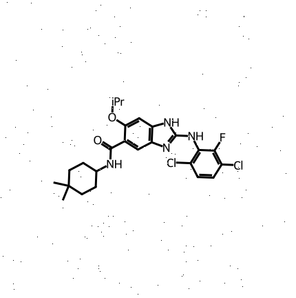 CC(C)Oc1cc2[nH]c(Nc3c(Cl)ccc(Cl)c3F)nc2cc1C(=O)NC1CCC(C)(C)CC1